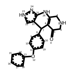 O=C1CNCC2=C1C(c1ccc(Oc3ccccc3)cc1)c1c[nH]nc1N2